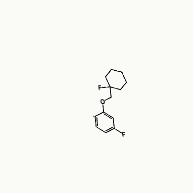 Fc1cc[c]c(OCC2(F)CCCCC2)c1